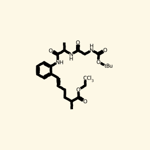 CC(CCC=Cc1ccccc1NC(=O)C(C)NC(=O)CNC(=O)OC(C)(C)C)C(=O)OCC(Cl)(Cl)Cl